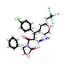 [N-]=[N+]=N[C@H](C(=O)N1C(=O)OC[C@@H]1c1ccccc1)[C@@H](c1ccc(Cl)cc1)[C@H]1CCO[C@@H](CC(F)(F)F)C1